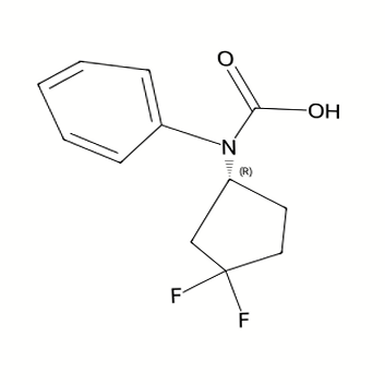 O=C(O)N(c1ccccc1)[C@@H]1CCC(F)(F)C1